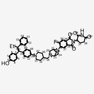 CCC(=C(c1ccc(O)cc1)c1ccc(N2CCC(CN3CC4CC3CN4c3cc4c(cc3F)C(=O)N(C3CCC(=O)NC3=O)C4=O)CC2)cc1)c1ccccc1